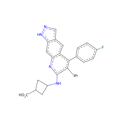 CC(C)c1c(NC2CC(C(=O)O)C2)nc2cc3[nH]ncc3cc2c1-c1ccc(F)cc1